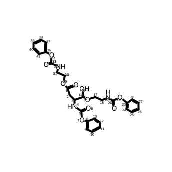 O=C(CC(NC(=O)Oc1ccccc1)C(O)OCCNC(=O)Oc1ccccc1)OCCNC(=O)Oc1ccccc1